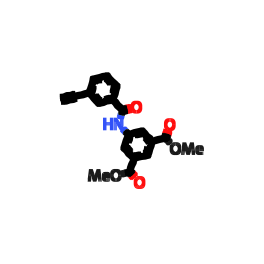 C#Cc1cccc(C(=O)Nc2cc(C(=O)OC)cc(C(=O)OC)c2)c1